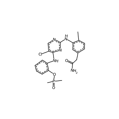 Cc1ccc(CC(N)=O)cc1Nc1ncc(Cl)c(Nc2ccccc2OP(C)(C)=O)n1